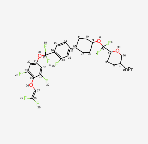 CCCC1CCC(C(F)(F)OC2CCC(c3ccc(C(F)(F)Oc4cc(F)c(OC=C(F)F)c(F)c4)c(F)c3)CC2)OC1